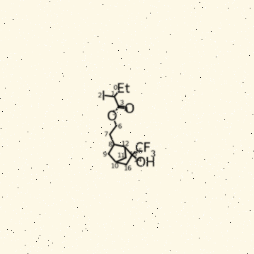 CCC(I)C(=O)OCCC1CC2CC1C(O)(C(F)(F)F)C2